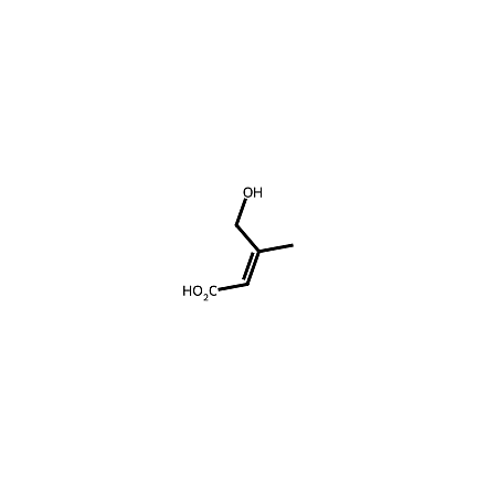 C/C(=C/C(=O)O)CO